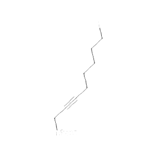 CCCCCCC#CCCCCCI